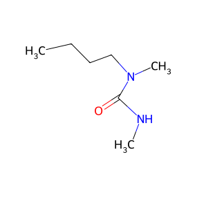 CCCCN(C)C(=O)NC